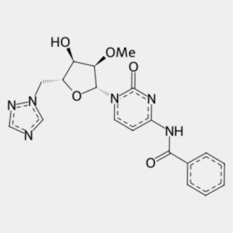 CO[C@@H]1[C@H](O)[C@@H](Cn2cncn2)O[C@H]1n1ccc(NC(=O)c2ccccc2)nc1=O